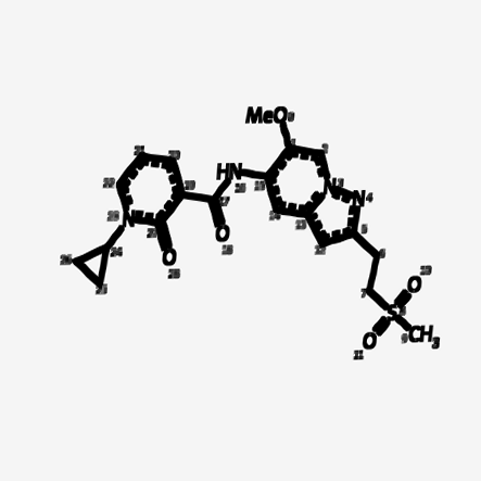 COc1cn2nc(CCS(C)(=O)=O)cc2cc1NC(=O)c1cccn(C2CC2)c1=O